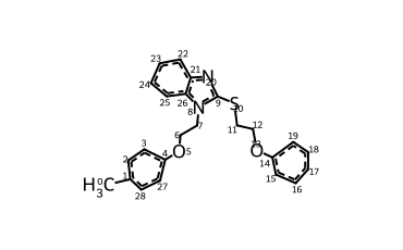 Cc1ccc(OCCn2c(SCCOc3ccccc3)nc3ccccc32)cc1